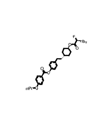 CCCC[C@H](F)C(=O)O[C@H]1CC[C@H](CCc2ccc(OC(=O)c3ccc(OCCC)cc3)cc2)CC1